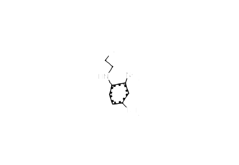 Bc1ccc(NCCO)c([N+](=O)[O-])c1